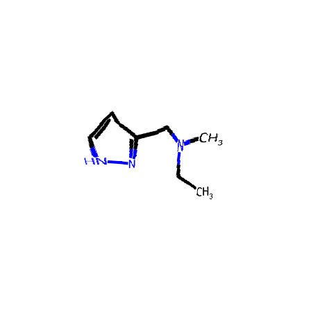 CCN(C)Cc1cc[nH]n1